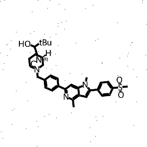 Cc1nc(-c2ccc(CN3C[C@H]4CCC3CN4C(O)C(C)(C)C)cc2)cc2c1cc(-c1ccc(S(C)(=O)=O)cc1)n2C